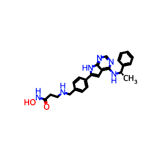 C[C@@H](Nc1ncnc2[nH]c(-c3ccc(CNCCC(=O)NO)cc3)cc12)c1ccccc1